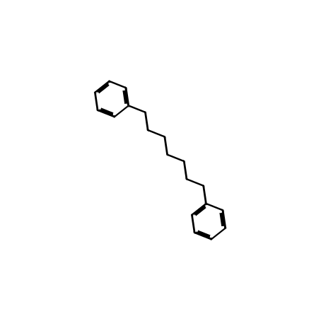 c1ccc(CCCCCCCc2ccccc2)cc1